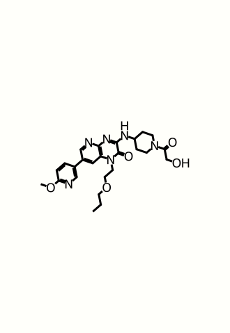 CCCOCCn1c(=O)c(NC2CCN(C(=O)CO)CC2)nc2ncc(-c3ccc(OC)nc3)cc21